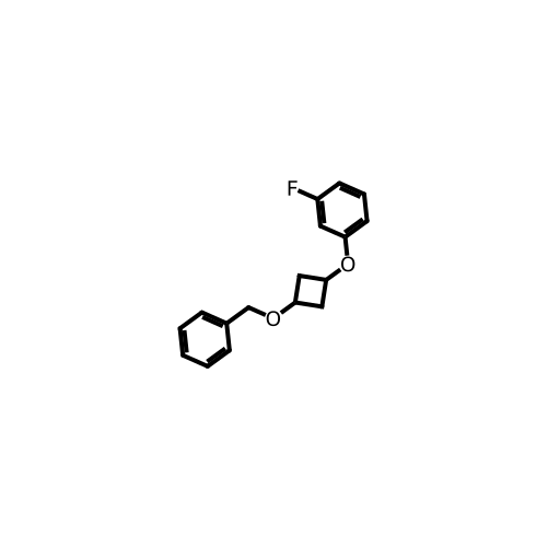 Fc1cccc(OC2CC(OCc3ccccc3)C2)c1